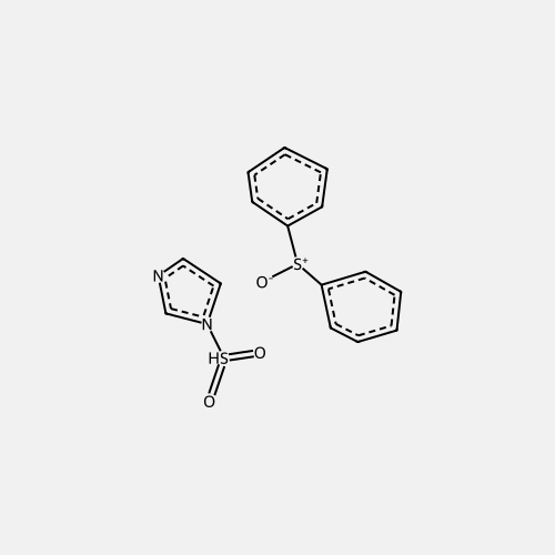 O=[SH](=O)n1ccnc1.[O-][S+](c1ccccc1)c1ccccc1